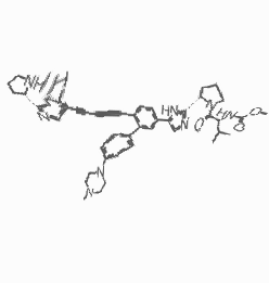 COC(=O)N[C@H](C(=O)N1CCC[C@H]1c1ncc(-c2ccc(C#CC#Cc3cnc([C@@H]4CCCN4)[nH]3)c(-c3ccc(N4CCN(C)CC4)cc3)c2)[nH]1)C(C)C